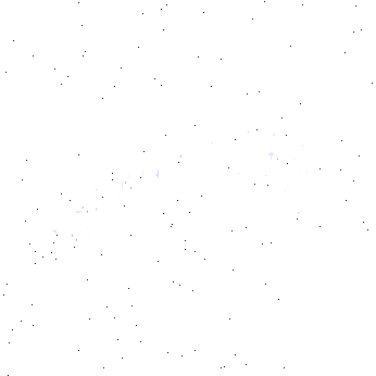 O=C(NCCCCC1CCN(C(=O)C2CCCO2)CC1)Nc1ccc2nccn2c1